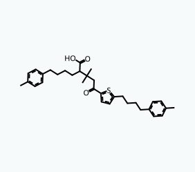 Cc1ccc(CCCCc2ccc(C(=O)CC(C)(C)C(CCCCc3ccc(C)cc3)C(=O)O)s2)cc1